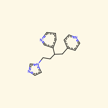 [CH](Cn1ccnc1)C(Cc1ccncc1)c1cccnc1